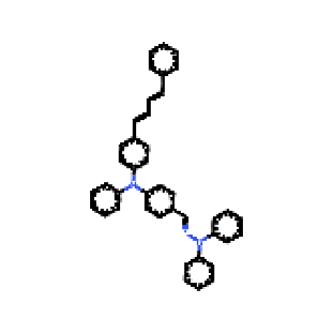 C(C=Cc1ccc(N(c2ccccc2)c2ccc(/C=N/N(c3ccccc3)c3ccccc3)cc2)cc1)=Cc1ccccc1